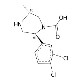 C[C@@H]1CN(C(=O)O)[C@@H](c2ccc(Cl)c(Cl)c2)CN1